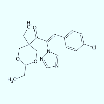 CCC1OCC(CC)(C(=O)C(=Cc2ccc(Cl)cc2)n2cncn2)CO1